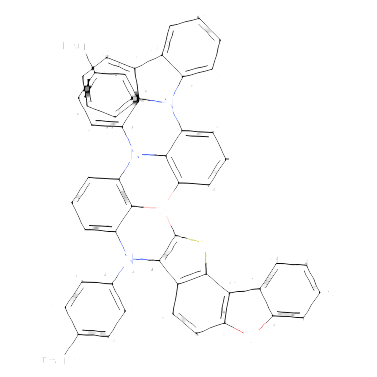 CC(C)(C)c1ccc(N2c3cccc4c3B(c3cccc(-n5c6ccccc6c6ccccc65)c32)c2sc3c(ccc5oc6ccccc6c53)c2N4c2ccc(C(C)(C)C)cc2)cc1